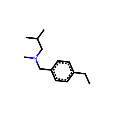 CCc1ccc(CN(C)CC(C)C)cc1